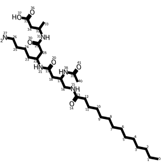 CCCCCCCCCCCCCC(=O)NCC(CC(=O)NC(CCCCN)CC(=O)NC(C)CC(=O)O)NC(C)=O